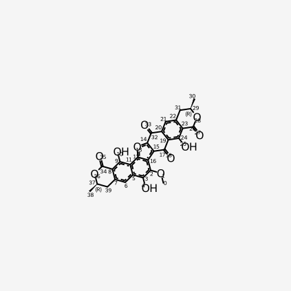 COc1c(O)c2cc3c(c(O)c2c2oc4c(c12)C(=O)c1c(cc2c(c1O)C(=O)O[C@H](C)C2)C4=O)C(=O)O[C@H](C)C3